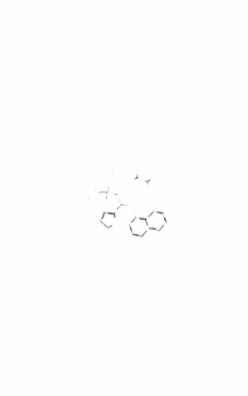 Cc1ccsc1C(CC(C)(C)N)Oc1cccc2ccccc12.O=C(O)C(=O)O